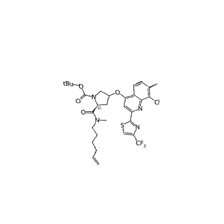 C=CCCCCN(C)C(=O)[C@@H]1CC(Oc2cc(-c3nc(C(F)(F)F)cs3)nc3c(Cl)c(C)ccc23)CN1C(=O)OC(C)(C)C